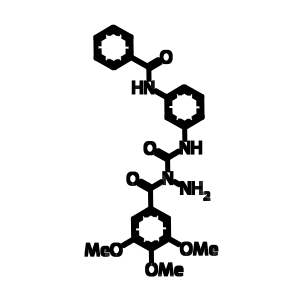 COc1cc(C(=O)N(N)C(=O)Nc2cccc(NC(=O)c3ccccc3)c2)cc(OC)c1OC